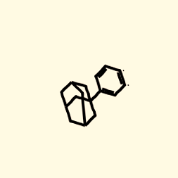 [c]1[c]cc(C23CC4CC(CC(C4)C2)C3)cc1